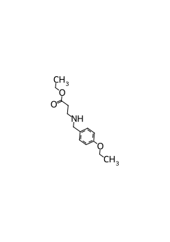 CCOC(=O)CCNCc1ccc(OCC)cc1